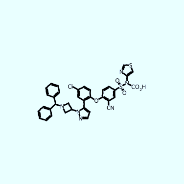 N#Cc1cc(S(=O)(=O)N(C(=O)O)c2cscn2)ccc1Oc1ccc(Cl)cc1-c1ccnn1C1CN(C(c2ccccc2)c2ccccc2)C1